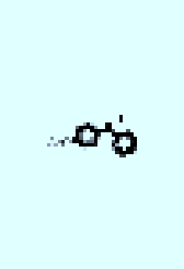 C=C(c1ccccc1)c1ccc(OC(C)=O)cc1